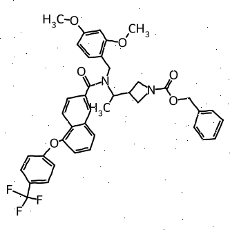 COc1ccc(CN(C(=O)c2ccc3c(Oc4ccc(C(F)(F)F)cc4)cccc3c2)C(C)C2CN(C(=O)OCc3ccccc3)C2)c(OC)c1